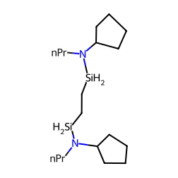 CCCN([SiH2]CC[SiH2]N(CCC)C1CCCC1)C1CCCC1